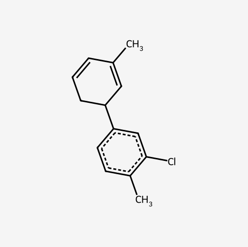 CC1=CC(c2ccc(C)c(Cl)c2)CC=C1